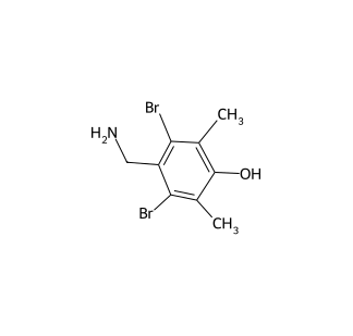 Cc1c(O)c(C)c(Br)c(CN)c1Br